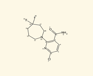 NC(=O)c1ccc(Cl)nc1N1CCCC(F)(F)CC1